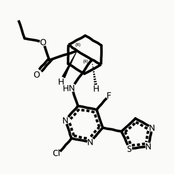 CCOC(=O)[C@@H]1C2CCC(CC2)[C@H]1Nc1nc(Cl)nc(-c2cnns2)c1F